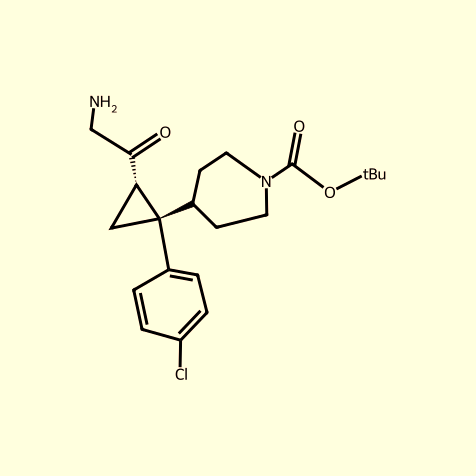 CC(C)(C)OC(=O)N1CCC([C@@]2(c3ccc(Cl)cc3)C[C@@H]2C(=O)CN)CC1